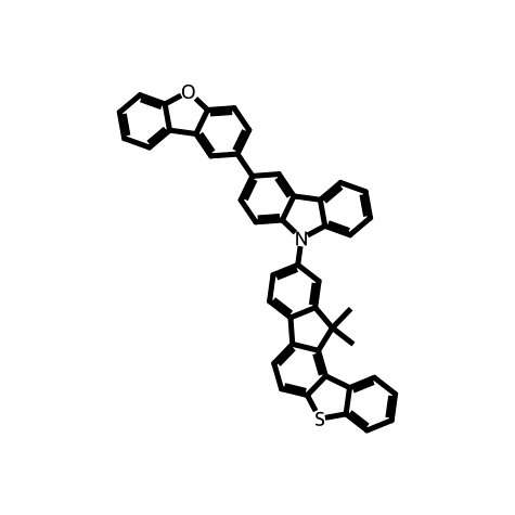 CC1(C)c2cc(-n3c4ccccc4c4cc(-c5ccc6oc7ccccc7c6c5)ccc43)ccc2-c2ccc3sc4ccccc4c3c21